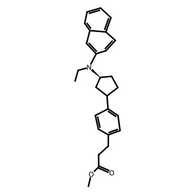 CCN(c1ccc2ccccc2c1)[C@H]1CCC(c2ccc(CCC(=O)OC)cc2)C1